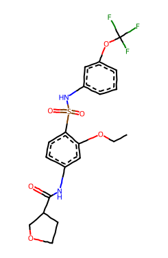 CCOc1cc(NC(=O)C2CCOC2)ccc1S(=O)(=O)Nc1cccc(OC(F)(F)F)c1